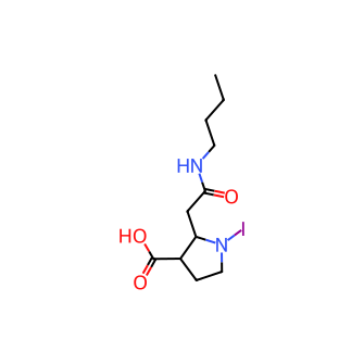 CCCCNC(=O)CC1C(C(=O)O)CCN1I